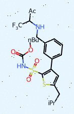 CCCCOC(=O)NS(=O)(=O)c1sc(CC(C)C)cc1-c1cccc(CNC(C(C)=O)C(F)(F)F)c1